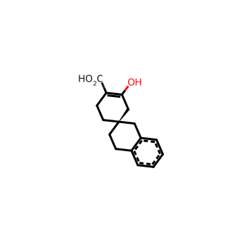 O=C(O)C1=C(O)C[C@]2(CC1)CCc1ccccc1C2